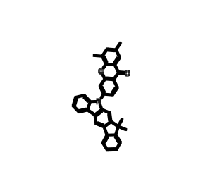 Cc1cc(C)c2oc3cc(-n4c5ccccc5c5cc6c(cc54)C(C)(C)c4ccccc4-6)ccc3c(=O)c2c1